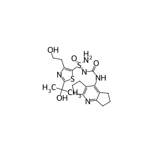 CC(C)(O)c1nc(CCO)c([S@@](N)(=O)=NC(=O)Nc2c3c(nc4c2CCC4)CCC3)s1